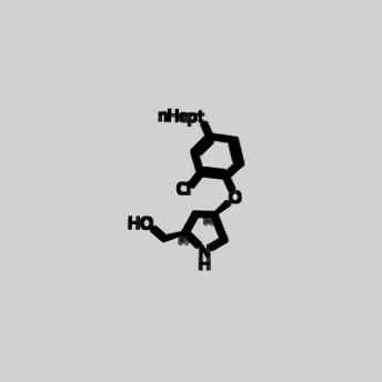 CCCCCCCc1ccc(O[C@H]2CN[C@@H](CO)C2)c(Cl)c1